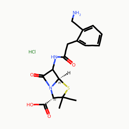 CC1(C)S[C@@H]2C(NC(=O)Cc3ccccc3CN)C(=O)N2[C@H]1C(=O)O.Cl